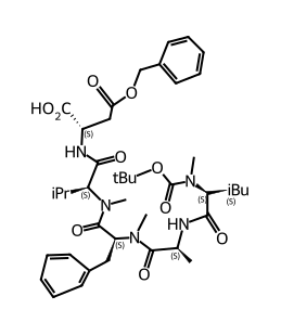 CC[C@H](C)[C@@H](C(=O)N[C@@H](C)C(=O)N(C)[C@@H](Cc1ccccc1)C(=O)N(C)[C@H](C(=O)N[C@@H](CC(=O)OCc1ccccc1)C(=O)O)C(C)C)N(C)C(=O)OC(C)(C)C